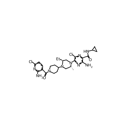 CC[C@H]1CN(c2nc(N)c(C(=O)NC3CC3)nc2Cl)[C@H](C)CN1C1CCN(C(=O)c2ccc(Cl)nc2N)CC1